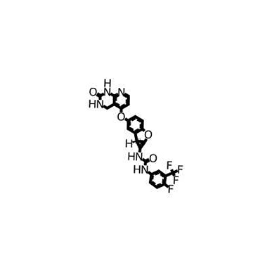 O=C(NC1=C2Oc3ccc(Oc4ccnc5c4CNC(=O)N5)cc3[C@@H]12)Nc1ccc(F)c(C(F)(F)F)c1